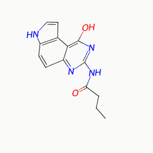 CCCC(=O)Nc1nc(O)c2c(ccc3[nH]ccc32)n1